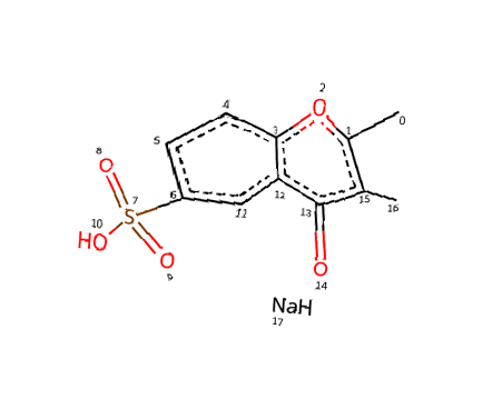 Cc1oc2ccc(S(=O)(=O)O)cc2c(=O)c1C.[NaH]